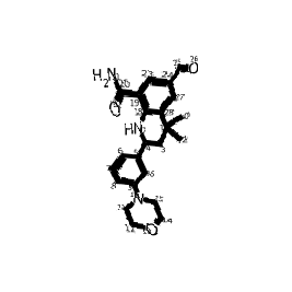 CC1(C)CC(c2cccc(N3CCOCC3)c2)Nc2c(C(N)=O)cc([C]=O)cc21